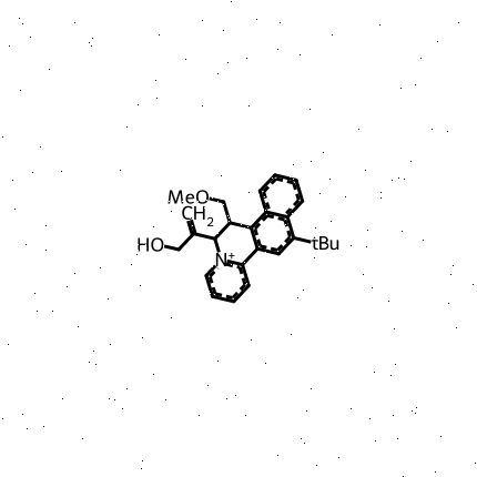 C=C(CO)C1C(COC)c2c(cc(C(C)(C)C)c3ccccc23)-c2cccc[n+]21